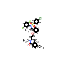 Cc1ccc(C(=O)N(C)CCCOc2ccccc2C(C)N(c2cc(F)ccc2F)S(=O)(=O)c2ccc(Cl)cc2)c([N+](=O)[O-])c1